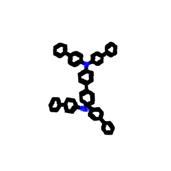 C1=CC(Nc2ccc(-c3ccccc3)cc2)(c2ccc(-c3ccccc3)cc2)CC=C1c1ccc(N(c2ccc(-c3ccccc3)cc2)c2ccc(-c3ccccc3)cc2)cc1